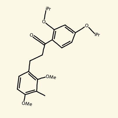 COc1ccc(CCC(=O)c2ccc(OC(C)C)cc2OC(C)C)c(OC)c1C